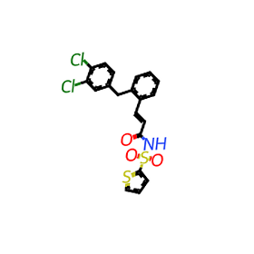 O=C(C=Cc1ccccc1Cc1ccc(Cl)c(Cl)c1)NS(=O)(=O)c1cccs1